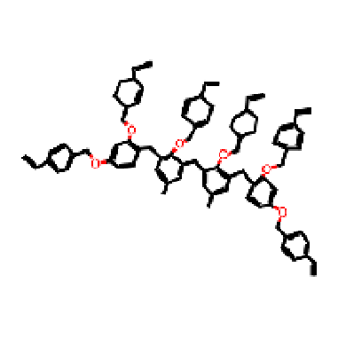 C=Cc1ccc(COc2ccc(Cc3cc(C)cc(Cc4cc(C)cc(Cc5ccc(OCc6ccc(C=C)cc6)cc5OCc5ccc(C=C)cc5)c4OCC4CCC(C=C)CC4)c3OCC3=CCC(C=C)C=C3)c(OCC3C=CC(C=C)CC3)c2)cc1